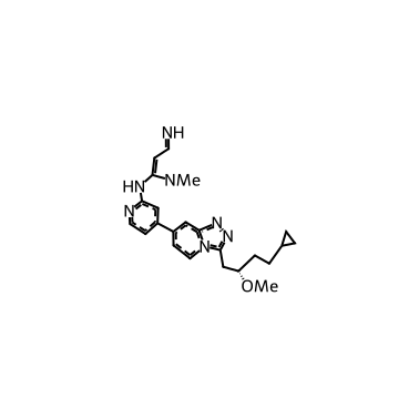 CN/C(=C\C=N)Nc1cc(-c2ccn3c(C[C@H](CCC4CC4)OC)nnc3c2)ccn1